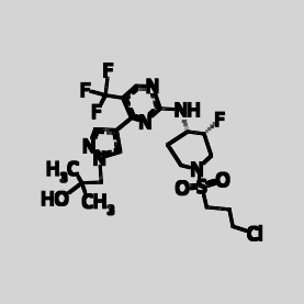 CC(C)(O)Cn1cc(-c2nc(N[C@H]3CCN(S(=O)(=O)CCCCl)C[C@H]3F)ncc2C(F)(F)F)cn1